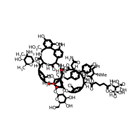 CN[C@H](CC(C)C)C(=O)N[C@H]1C(=O)N[C@@H](CC(N)=O)C(=O)N[C@H]2C(=O)N[C@H]3C(=O)N[C@H](C(=O)N[C@H](C(=O)O)c4cc(O)cc(O)c4-c4cc3ccc4O)[C@H](O[C@H]3C[C@](C)(N)[C@@H](O)[C@H](C)O3)c3ccc(c(Cl)c3)Oc3cc2cc(c3O[C@@H]2O[C@H](CO)[C@@H](O)[C@H](O)[C@H]2O[C@H]2C[C@](C)(NCc3ccc(-c4ccc(Cl)cc4)cc3)[C@@H](O)[C@H](C)O2)Oc2ccc(cc2Cl)[C@H]1OC(=O)CCCC(=O)NC(P(=O)(O)O)P(=O)(O)O